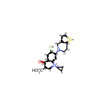 O=C(O)c1cn(C2CC2)c2cc(N3CCc4sccc4C3)c(F)cc2c1=O